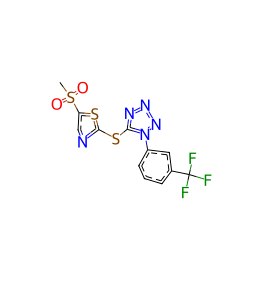 CS(=O)(=O)c1cnc(Sc2nnnn2-c2cccc(C(F)(F)F)c2)s1